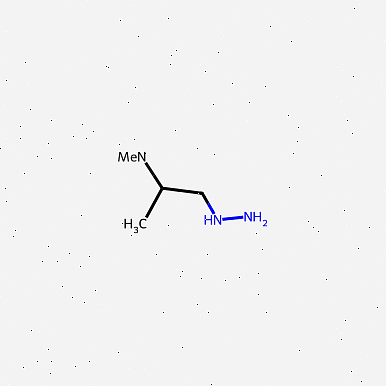 CNC(C)CNN